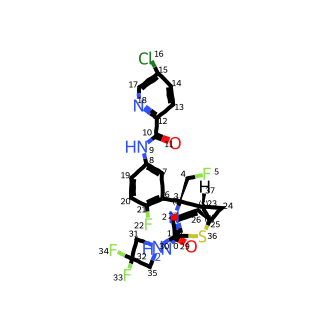 NC1=N[C@](CF)(c2cc(NC(=O)c3ccc(Cl)cn3)ccc2F)[C@@H]2C[C@]2(C=CC(=O)N2CC(F)(F)C2)S1